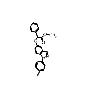 COC(=O)C(Oc1ccc2c(cnn2-c2ccc(F)cc2)c1)c1ccccc1